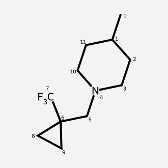 CC1CCN(CC2(C(F)(F)F)CC2)CC1